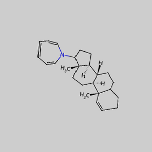 C[C@]12C=CCCC1CC[C@@H]1[C@@H]2CC[C@]2(C)C(N3C=CC=CC=C3)CC[C@@H]12